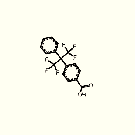 O=C(O)c1ccc(C(c2ccccc2)(C(F)(F)F)C(F)(F)F)cc1